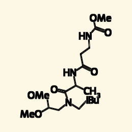 CCC(C)CN(CC(OC)OC)C(=O)C(C)NC(=O)CCNC(=O)OC